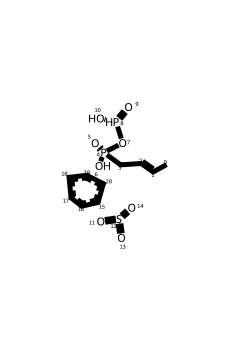 CC=CCP(=O)(O)O[PH](=O)O.O=S(=O)=O.c1ccccc1